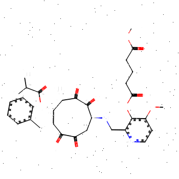 COC(=O)CCCC(=O)Oc1c(OC)ccnc1CN[C@H]1CC(=O)C(=O)[C@H](Cc2ccccc2)[C@H](OC(=O)C(C)C)[C@H](C)C(=O)C1=O